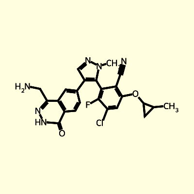 CC1CC1Oc1cc(Cl)c(F)c(-c2c(-c3ccc4c(=O)[nH]nc(CN)c4c3)cnn2C)c1C#N